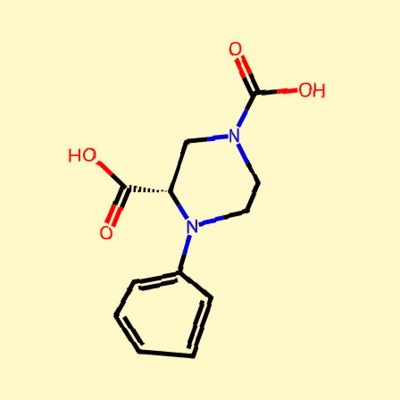 O=C(O)[C@@H]1CN(C(=O)O)CCN1c1ccccc1